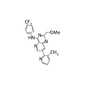 COCc1nc(Nc2ccc(C(F)(F)F)cc2)c2ncc(-c3ncccc3C)cc2n1